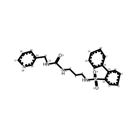 O=C(NCCCNS(=O)(=O)c1ccccc1-c1ccccc1)NCc1cccnc1